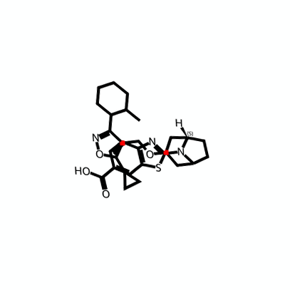 CC1CCCCC1c1noc(C2CC2)c1COC1CC2CC[C@@H](C1)N2c1nc2ccc(C(=O)O)cc2s1